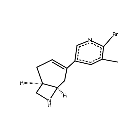 Cc1cc(C2=CC[C@@H]3CN[C@@H]3C2)cnc1Br